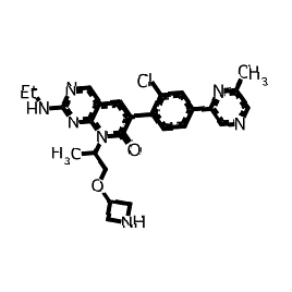 CCNc1ncc2cc(-c3ccc(-c4cncc(C)n4)cc3Cl)c(=O)n(C(C)COC3CNC3)c2n1